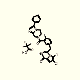 O=C(O)C(F)(F)F.O=C(c1cc(Cc2c[nH]c(=O)c3cc(Cl)c(Cl)n23)ccc1F)N1CCn2c(-c3ccccc3)cnc2C1